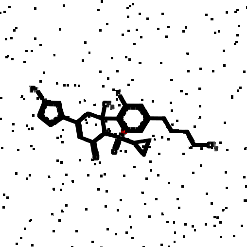 CC(C)n1ccc(C2=CC(=O)N(S(=O)(=O)C3CC3)C(c3ccc(CCCCC(F)(F)F)cc3F)(C(F)(F)F)C2)c1